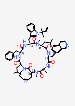 C=CC(C)(C)n1cc(C[C@@H]2NC(=O)[C@H](Cc3ccccc3)NC(=O)[C@H](CC(C)C)N3CC/C=C\C[C@@H](C3=O)N(C)C(=O)[C@H](C)NC(=O)[C@H](Cc3ccc4ccncc4c3)NC(=O)[C@H](CC(C)C)N(C)C2=O)c2ccccc21